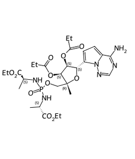 CCOC(=O)[C@H](C)NP(=O)(N[C@@H](C)C(=O)OCC)OC[C@@]1(C)O[C@@H](c2ccc3c(N)ncnn23)[C@H](OC(=O)CC)[C@@H]1OC(=O)CC